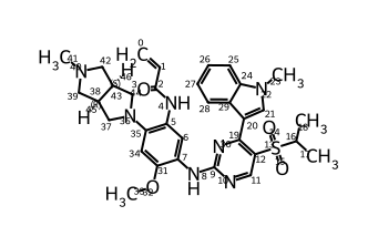 C=CC(=O)Nc1cc(Nc2ncc(S(=O)(=O)C(C)C)c(-c3cn(C)c4ccccc34)n2)c(OC)cc1N1C[C@H]2CN(C)C[C@H]2C1